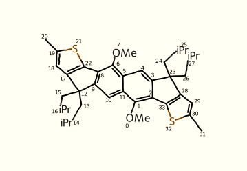 COc1c2c(cc3c(OC)c4c(cc13)C(CC(C)C)(CC(C)C)c1cc(C)sc1-4)C(CC(C)C)(CC(C)C)c1cc(C)sc1-2